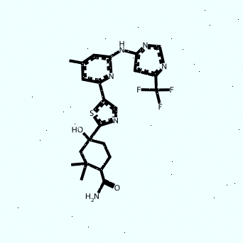 Cc1cc(Nc2cc(C(F)(F)F)ncn2)nc(-c2cnc(C3(O)CCC(C(N)=O)C(C)(C)C3)s2)c1